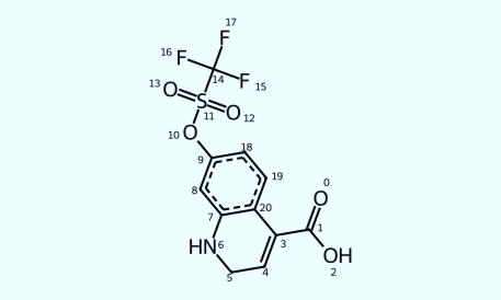 O=C(O)C1=CCNc2cc(OS(=O)(=O)C(F)(F)F)ccc21